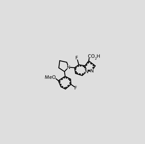 COc1ccc(F)cc1C1CCCN1c1ccn2ncc(C(=O)O)c2c1F